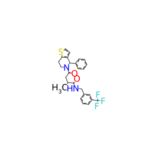 CC(CC(=O)N1CCc2sccc2C1c1ccccc1)C(=O)NCc1cccc(C(F)(F)F)c1